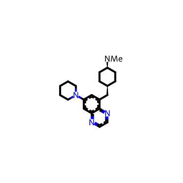 CN[C@H]1CC[C@@H](Cc2cc(N3CCCCC3)cc3nccnc23)CC1